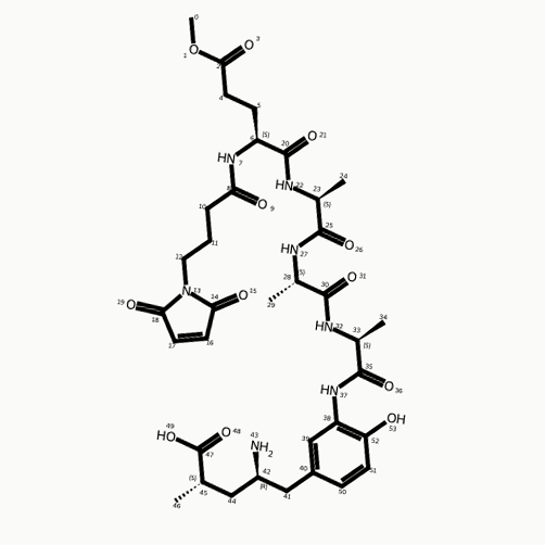 COC(=O)CC[C@H](NC(=O)CCCN1C(=O)C=CC1=O)C(=O)N[C@@H](C)C(=O)N[C@@H](C)C(=O)N[C@@H](C)C(=O)Nc1cc(C[C@H](N)C[C@H](C)C(=O)O)ccc1O